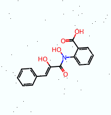 O=C(O)c1ccccc1N(O)C(=O)C(O)=Cc1ccccc1